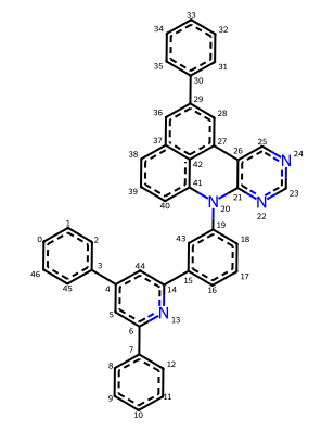 c1ccc(-c2cc(-c3ccccc3)nc(-c3cccc(N4c5ncncc5-c5cc(-c6ccccc6)cc6cccc4c56)c3)c2)cc1